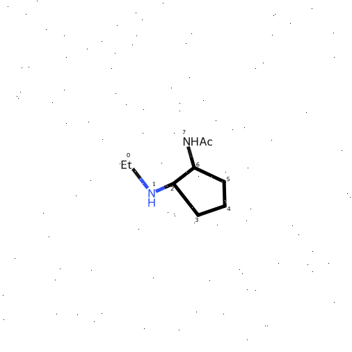 CCNC1CCCC1NC(C)=O